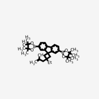 C=C(C)CC1(CC)CC2(C1)c1cc(B3OC(C)(C)C(C)(C)O3)ccc1-c1ccc(B3OC(C)(C)C(C)(C)O3)cc12